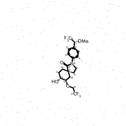 CO[C@H](c1ccc(N2CC[C@@]3(CC[C@@H](O)[C@H](OCC(F)(F)F)C3)C2=O)cc1)C(F)(F)F